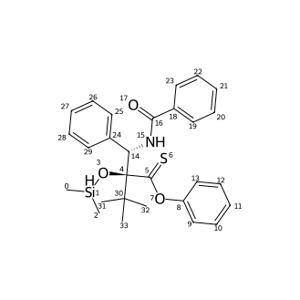 C[SiH](C)O[C@](C(=S)Oc1ccccc1)([C@@H](NC(=O)c1ccccc1)c1ccccc1)C(C)(C)C